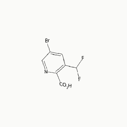 O=C(O)c1ncc(Br)cc1C(F)F